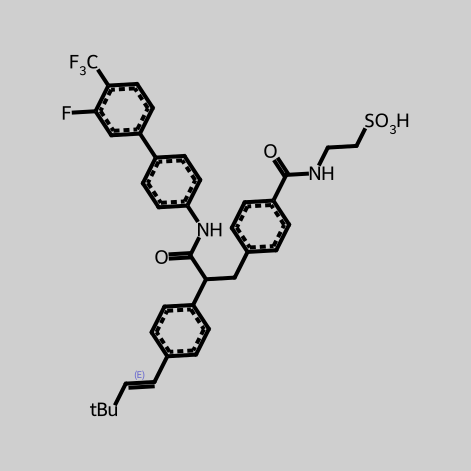 CC(C)(C)/C=C/c1ccc(C(Cc2ccc(C(=O)NCCS(=O)(=O)O)cc2)C(=O)Nc2ccc(-c3ccc(C(F)(F)F)c(F)c3)cc2)cc1